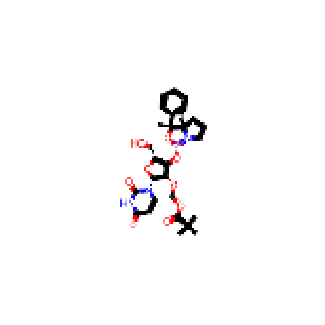 CC(C)(C)C(=O)OCO[C@H]1C(O[P@@]2O[C@](C)(c3ccccc3)[C@@H]3CCCN32)[C@@H](CO)O[C@H]1n1ccc(=O)[nH]c1=O